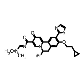 CC(C)C1Cc2cc(OCCC3CC3)c(-c3nccs3)cc2-c2cc(=O)c(C(=O)N=CN(C)C)cn21